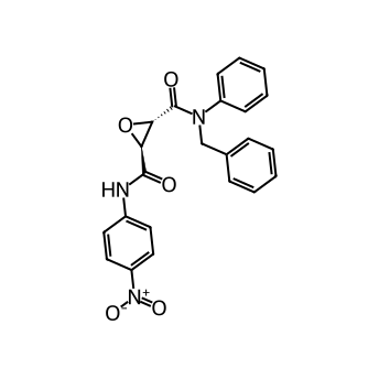 O=C(Nc1ccc([N+](=O)[O-])cc1)[C@H]1O[C@@H]1C(=O)N(Cc1ccccc1)c1ccccc1